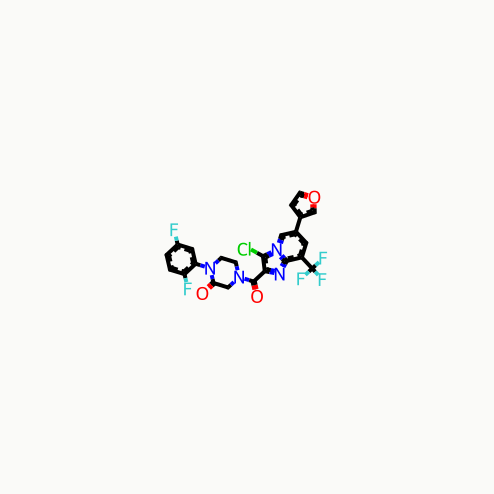 O=C(c1nc2c(C(F)(F)F)cc(-c3ccoc3)cn2c1Cl)N1CCN(c2cc(F)ccc2F)C(=O)C1